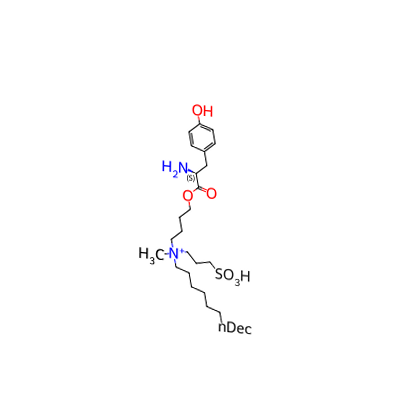 CCCCCCCCCCCCCCCC[N+](C)(CCCCOC(=O)[C@@H](N)Cc1ccc(O)cc1)CCCS(=O)(=O)O